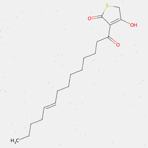 CCCCC=CCCCCCCCC(=O)C1=C(O)CSC1=O